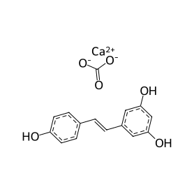 O=C([O-])[O-].Oc1ccc(C=Cc2cc(O)cc(O)c2)cc1.[Ca+2]